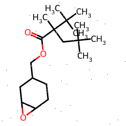 CC(C)(C)CC(C)(C(=O)OCC1CCC2OC2C1)C(C)(C)C